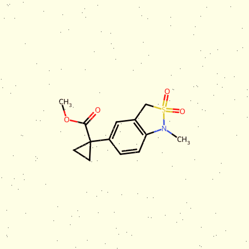 COC(=O)C1(c2ccc3c(c2)CS(=O)(=O)N3C)CC1